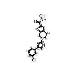 O=C(NO)c1cc2c(s1)CN(c1ncc(-c3cccc(Cl)c3)s1)CC2